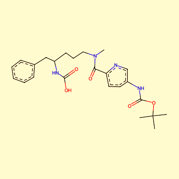 CN(CCCC(Cc1ccccc1)NC(=O)O)C(=O)c1ccc(NC(=O)OC(C)(C)C)cn1